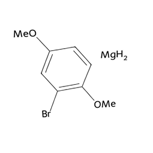 COc1ccc(OC)c(Br)c1.[MgH2]